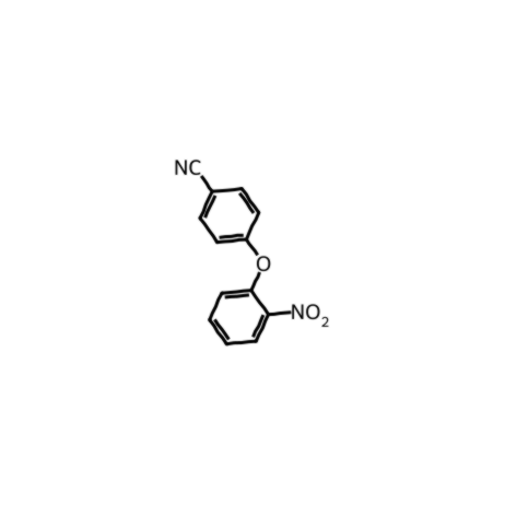 N#Cc1ccc(Oc2ccccc2[N+](=O)[O-])cc1